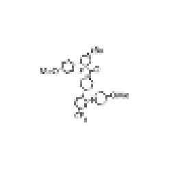 COc1ccc([C@@H]2CN(C(C)(C)C)C[C@@]2(F)C(=O)N2CCC(c3ccc(C(F)(F)F)cc3N3CCC(OC)CC3)CC2)cc1